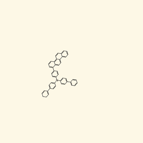 C1=CC(c2ccc(N(c3ccc(-c4ccccc4)cc3)c3ccc(-c4cccc5c4ccc4c6ccccc6ccc54)cc3)cc2)=CCC1